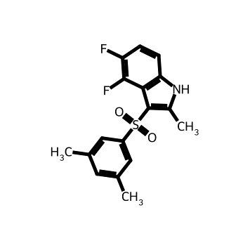 Cc1cc(C)cc(S(=O)(=O)c2c(C)[nH]c3ccc(F)c(F)c23)c1